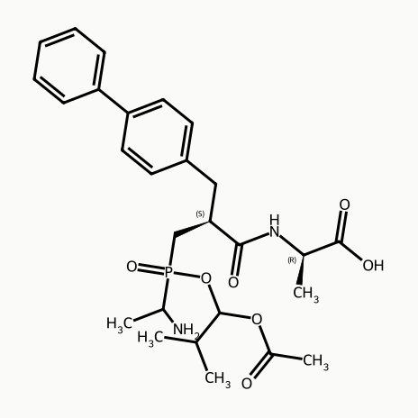 CC(=O)OC(OP(=O)(C[C@@H](Cc1ccc(-c2ccccc2)cc1)C(=O)N[C@H](C)C(=O)O)C(C)N)C(C)C